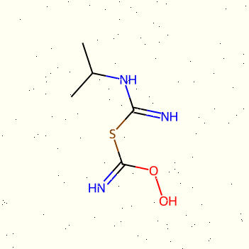 CC(C)NC(=N)SC(=N)OO